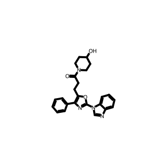 O=C(CCc1oc(-n2cnc3ccccc32)nc1-c1ccccc1)N1CCC(O)CC1